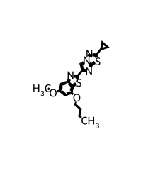 CCCCOc1cc(OC)cc2nc(-c3cn4nc(C5CC5)sc4n3)sc12